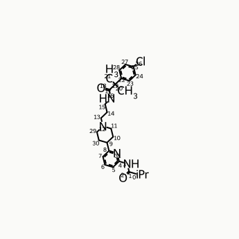 CC(C)C(=O)Nc1cccc(C2CCN(CCCNC(=O)C(C)(C)c3ccc(Cl)cc3)CC2)n1